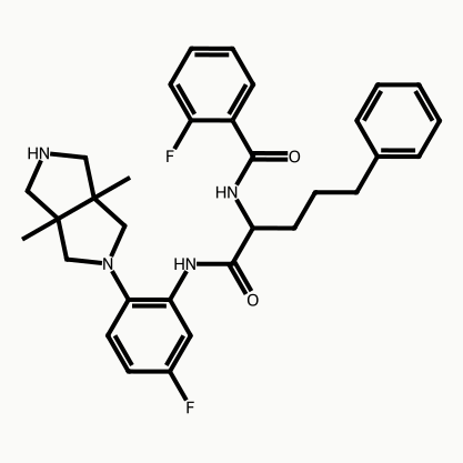 CC12CNCC1(C)CN(c1ccc(F)cc1NC(=O)C(CCCc1ccccc1)NC(=O)c1ccccc1F)C2